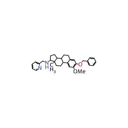 COc1cc2c(cc1OCc1ccccc1)CCC1C2CCC2(C)C(NCc3ccccn3)CCC12